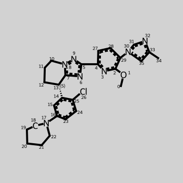 COc1nc(-c2nc3n(n2)CCC[C@H]3c2cc(N3CCCCC3)ccc2Cl)ccc1-n1cnc(C)c1